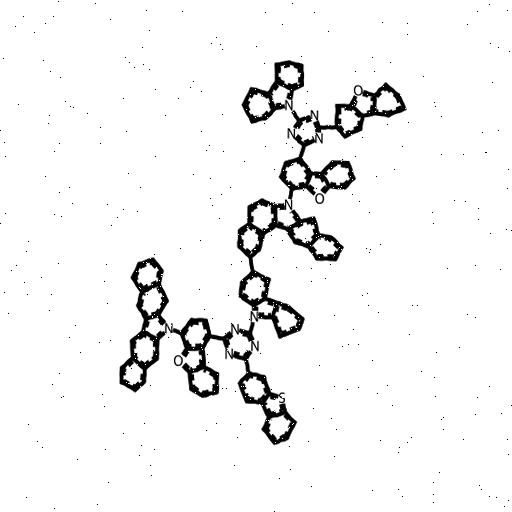 c1ccc2cc3c(cc2c1)c1cc2ccccc2cc1n3-c1ccc(-c2nc(-c3ccc4c(c3)sc3ccccc34)nc(-n3c4ccccc4c4cc(-c5ccc6ccc7c(c6c5)c5cc6ccccc6cc5n7-c5ccc(-c6nc(-c7ccc8c(c7)oc7ccccc78)nc(-n7c8ccccc8c8ccccc87)n6)c6c5oc5ccccc56)ccc43)n2)c2c1oc1ccccc12